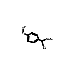 CCCOc1ccc(C(CC)NC)cc1